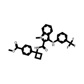 COC(=O)c1ccc(C2(NC(=O)c3c(Nc4cccc(C(F)(F)F)c4)c4ccccc4n3C)CCC2)cc1